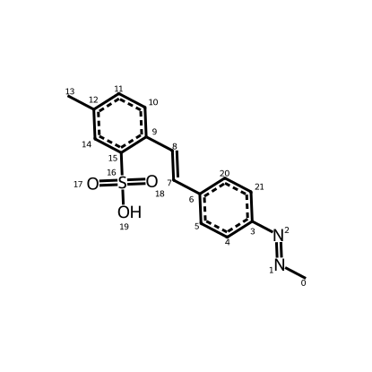 CN=Nc1ccc(C=Cc2ccc(C)cc2S(=O)(=O)O)cc1